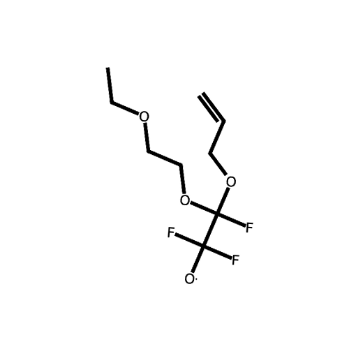 C=CCOC(F)(OCCOCC)C([O])(F)F